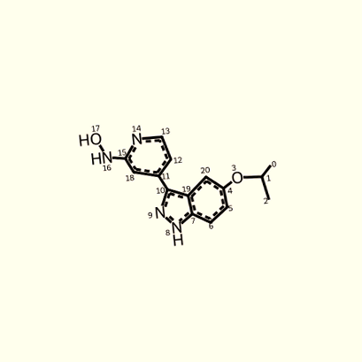 CC(C)Oc1ccc2[nH]nc(-c3ccnc(NO)c3)c2c1